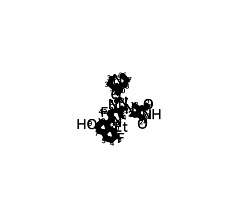 CCc1c(F)ccc2cc(O)cc(-c3ncc4c(N5CC6C(=O)NC(=O)C6C5)nc(OCC56CCCN5CCC6)nc4c3F)c12